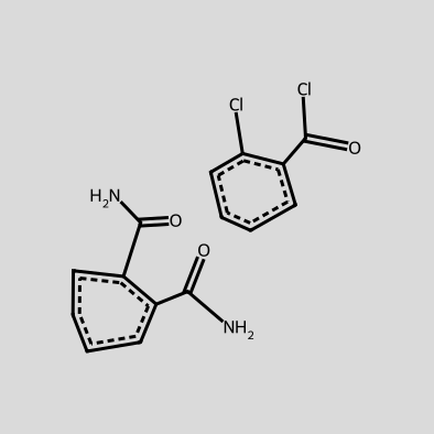 NC(=O)c1ccccc1C(N)=O.O=C(Cl)c1ccccc1Cl